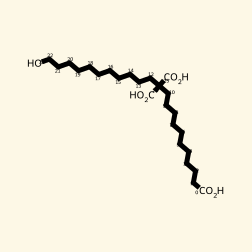 O=C(O)CCCCCCCCCCC(CCCCCCCCCCCO)(C(=O)O)C(=O)O